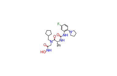 CC(C)[C@H](NC(=O)Nc1cc(F)ccc1N1CCCC1)C(=O)N(CC(=O)NO)CC1CCCC1